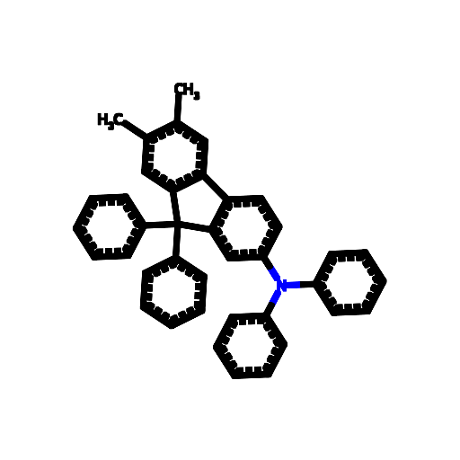 Cc1cc2c(cc1C)C(c1ccccc1)(c1ccccc1)c1cc(N(c3ccccc3)c3ccccc3)ccc1-2